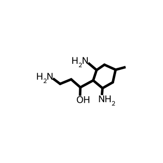 CC1CC(N)C(C(O)CCN)C(N)C1